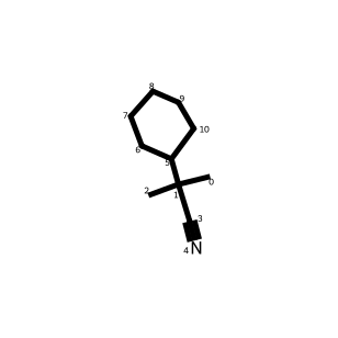 CC(C)(C#N)C1CCCCC1